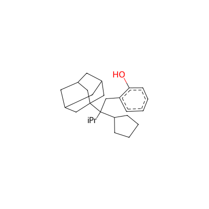 CC(C)C(Cc1ccccc1O)(C1CCCC1)C12CC3CC(CC(C3)C1)C2